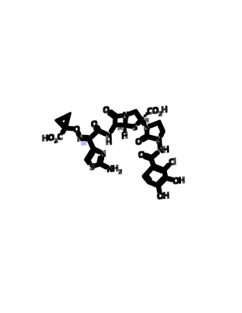 Nc1nc(/C(=N/OC2(C(=O)O)CC2)C(=O)NC2C(=O)N3C[C@@](C(=O)O)(N4CCN(NC(=O)c5ccc(O)c(O)c5Cl)C4=O)S[C@H]23)cs1